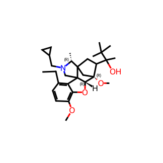 CCc1ccc(OC)c2c1C13CN(CC4CC4)[C@H](C)C14CC(C(C)(O)C(C)(C)C)[C@](OC)(C4)[C@@H]3O2